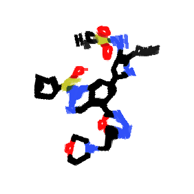 COc1ncc(-c2cc(-c3nnc(CN4CCCOCC4)o3)c3cnn([S+]([O-])c4ccccc4)c3c2)cc1NS(C)(=O)=O